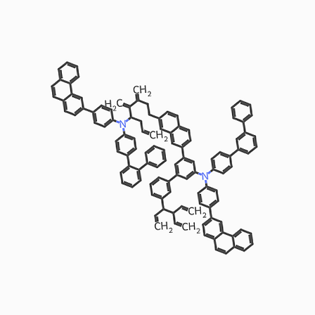 C=CCC(C(=C)C(=C)CCc1ccc2ccc(-c3cc(-c4cccc(C(C=C)C(C=C)C=C)c4)cc(N(c4ccc(-c5cccc(-c6ccccc6)c5)cc4)c4ccc(-c5ccc6ccc7ccccc7c6c5)cc4)c3)cc2c1)N(c1ccc(-c2ccc3ccc4ccccc4c3c2)cc1)c1ccc(-c2ccccc2-c2ccccc2)cc1